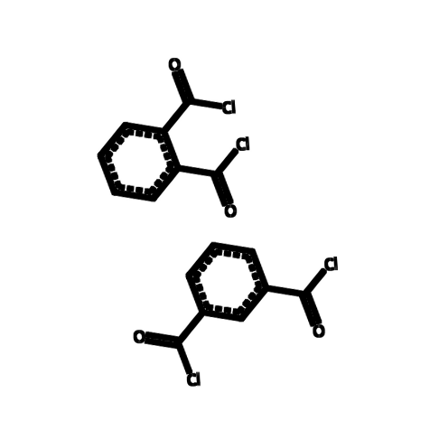 O=C(Cl)c1cccc(C(=O)Cl)c1.O=C(Cl)c1ccccc1C(=O)Cl